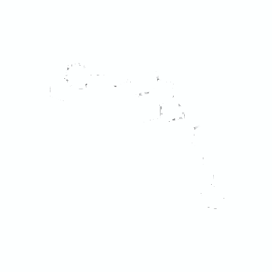 O=C(Cc1ccc2c(c1)CCO2)N/N=C1\C(=O)Nc2cc(C(=O)NCCCN3CCC[C@@H]3CO)cc(Br)c21